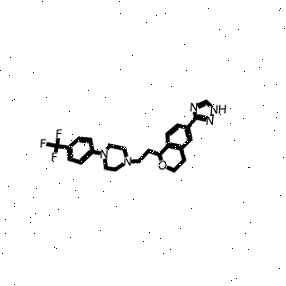 FC(F)(F)c1ccc(N2CCN(CCC3OCCc4cc(-c5nc[nH]n5)ccc43)CC2)cc1